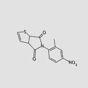 Cc1cc([N+](=O)[O-])ccc1N1C(=O)C2C=CSC2C1=O